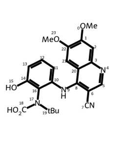 COc1cc2ncc(C#N)c(Nc3cccc(O)c3N(C(=O)O)C(C)(C)C)c2cc1OC